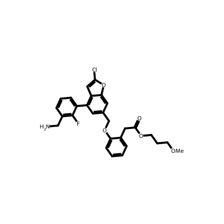 COCCCOC(=O)Cc1ccccc1OCc1cc(-c2cccc(CN)c2F)c2cc(Cl)oc2c1